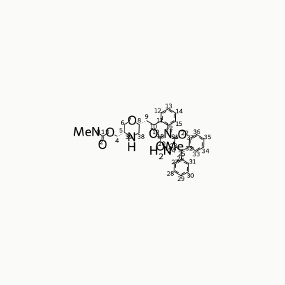 CNC(=O)OC[C@@H]1CO[C@H](CCc2ccccc2N(C(=O)OC)C(=O)[C@@H](N)C(c2ccccc2)c2ccccc2)CN1